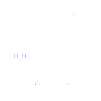 NC(=O)c1cc(F)ccc1[O]